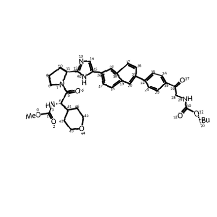 COC(=O)N[C@H](C(=O)N1CCC[C@H]1c1ncc(-c2ccc3cc(-c4ccc(C(=O)CNC(=O)OC(C)(C)C)cc4)ccc3c2)[nH]1)C1CCOCC1